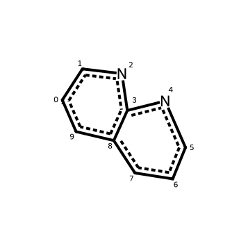 [c]1cnc2ncccc2c1